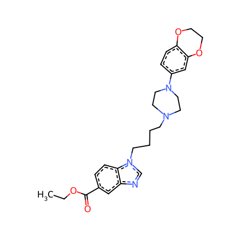 CCOC(=O)c1ccc2c(c1)ncn2CCCCN1CCN(c2ccc3c(c2)OCCO3)CC1